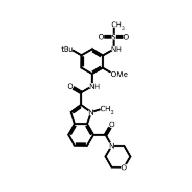 COc1c(NC(=O)c2cc3cccc(C(=O)N4CCOCC4)c3n2C)cc(C(C)(C)C)cc1NS(C)(=O)=O